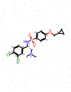 CN(C)C[C@@H](NS(=O)(=O)c1ccc(OCC2CC2)cc1)c1ccc(Cl)c(Cl)c1